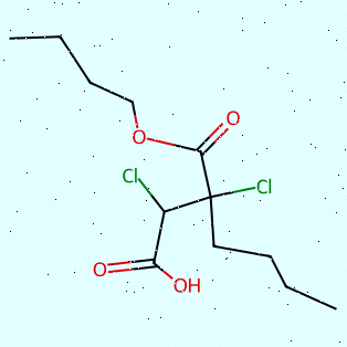 CCCCOC(=O)C(Cl)(CCCC)C(Cl)C(=O)O